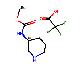 CC(C)(C)OC(=O)N[C@H]1CCCNC1.O=C(O)C(F)(F)F